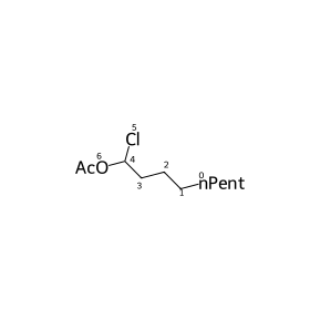 CCCCCCCCC(Cl)OC(C)=O